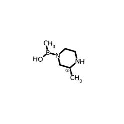 CB(O)N1CCN[C@@H](C)C1